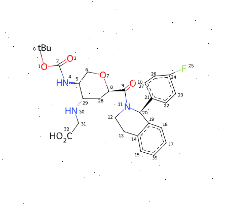 CC(C)(C)OC(=O)N[C@H]1CO[C@@H](C(=O)N2CCc3ccccc3[C@@H]2c2ccc(F)cc2)C[C@@H]1NCC(=O)O